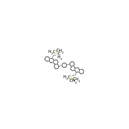 CS(C)(C)CCc1c2ccccc2cc2c1ccc1c(-c3ccc(-c4cccc5c4ccc4c(CCS(C)(C)C)c6ccccc6cc45)cc3)cccc12